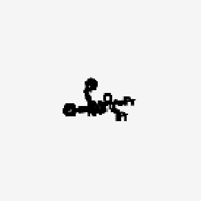 CC(C)CCN(CCC(C)C)C(=O)c1ccc2nc(C#Cc3ccccc3)c(C#CCN3CCCC3)n2c1